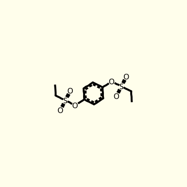 CCS(=O)(=O)Oc1ccc(OS(=O)(=O)CC)cc1